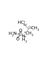 C#CC(C)C.NS(N)(=O)=O